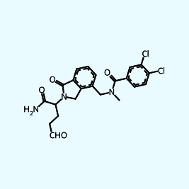 CN(Cc1cccc2c1CN(C(CCC=O)C(N)=O)C2=O)C(=O)c1ccc(Cl)c(Cl)c1